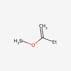 C=C(CC)O[SiH3]